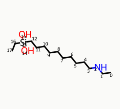 CCNCCCCCCCCCC[Si](O)(O)CC